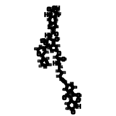 CC(C)(C)[C@H](NC(=O)c1cc2cc(C(F)(F)P(=O)(O)O)ccc2s1)C(=O)N1C[C@@H](OCC(=O)NCCCCC#Cc2ccc3c(c2)C(=O)N(C2CCC(=O)NC2=O)C3=O)C[C@H]1C(=O)N1CCOC(c2ccccc2)C1